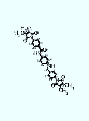 CC1=C(C)C(=O)N(c2ccc(CNc3ccc(NC(=O)c4ccc(N5C(=O)C(C)=C(C)C5=O)cc4)cc3)cc2)C1=O